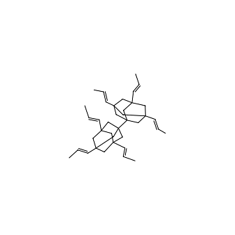 CC=CC12CC3(C=CC)CC(C=CC)(C1)CC(C14CC5(C=CC)CC(C=CC)(CC(C=CC)(C5)C1)C4)(C2)C3